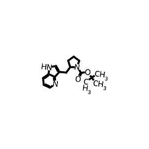 CC(C)(C)OC(=O)N1CCCC1Cc1c[nH]c2cccnc12